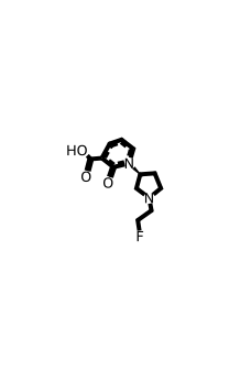 O=C(O)c1cccn([C@H]2CCN(CCF)C2)c1=O